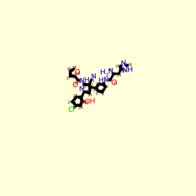 N#Cc1c(-c2cccc(NC(=O)[C@H](N)Cc3cnc[nH]3)c2)cc(-c2ccc(Cl)cc2O)nc1NC(=O)c1ccco1